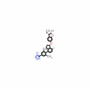 Cc1cc(-c2nnn[nH]2)cc(C)c1-c1ccc(F)c2c1CC[C@H]2Oc1ccc2c(c1)OC[C@H]2CC(=O)O